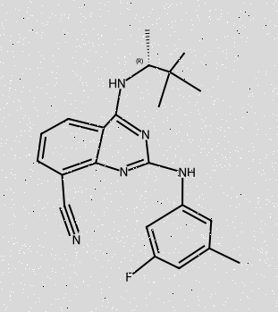 Cc1cc(F)cc(Nc2nc(N[C@H](C)C(C)(C)C)c3cccc(C#N)c3n2)c1